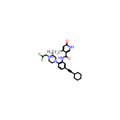 C[C@H]1CN(c2ccc(C#CC3CCCCC3)cc2NC(=O)c2c[nH]c(=O)cc2C(F)(F)F)CCN1CC(F)F